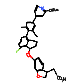 COc1cc(-c2cc(C)c(-c3ccc(F)c4c3CC[C@H]4Oc3ccc4c(c3)OCC4CC(=O)O)c(C)c2)ccn1